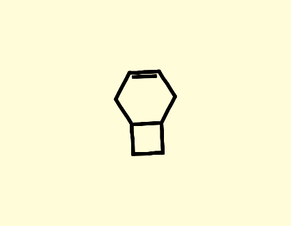 C1=CCC2CCC2C1